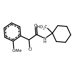 COc1ccccc1C(Cl)C(=O)NC1(C(=O)O)CCCCC1